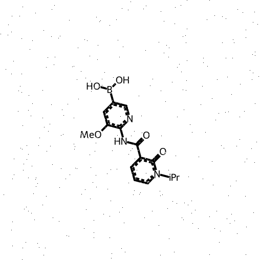 COc1cc(B(O)O)cnc1NC(=O)c1cccn(C(C)C)c1=O